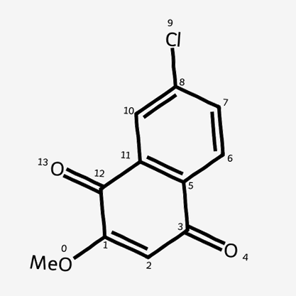 COC1=CC(=O)c2ccc(Cl)cc2C1=O